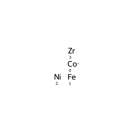 [Co].[Fe].[Ni].[Zr]